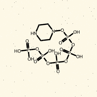 O=P(O)(O)OP(=O)(O)OP(=O)(O)OP(=O)(O)OP(=O)(O)ON1CCNCC1